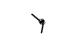 CCCCCCCCCCCCOc1ccsc1-c1sccc1OCCCCCCCCCCCC